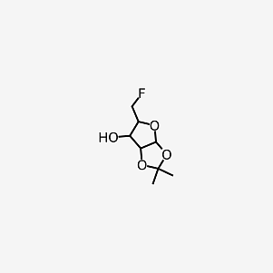 CC1(C)OC2OC(CF)C(O)C2O1